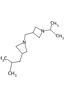 CC(C)CC1CN(CC2CN(C(C)C)C2)C1